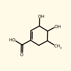 CC1CC(C(=O)O)=CC(O)C1O